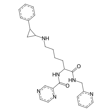 O=C(NC(CCCCNC1CC1c1ccccc1)C(=O)NCc1ccccn1)c1cnccn1